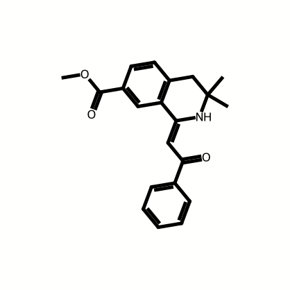 COC(=O)c1ccc2c(c1)C(=CC(=O)c1ccccc1)NC(C)(C)C2